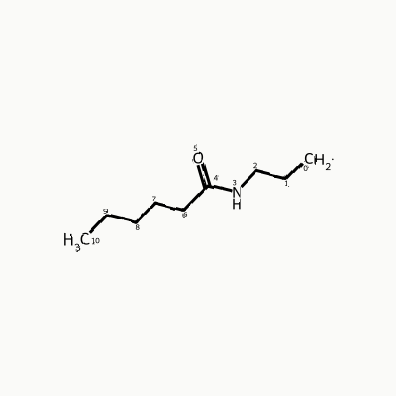 [CH2]CCNC(=O)CCCCC